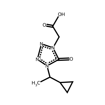 CC(C1CC1)n1nnn(CC(=O)O)c1=O